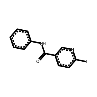 O=C(Nc1ccccc1)c1ccc(I)nc1